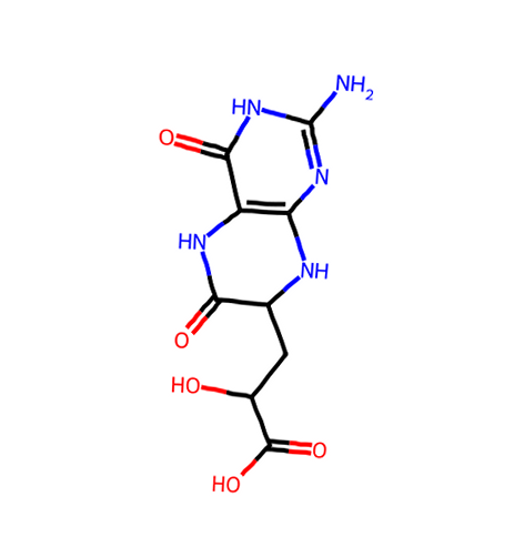 Nc1nc2c(c(=O)[nH]1)NC(=O)C(CC(O)C(=O)O)N2